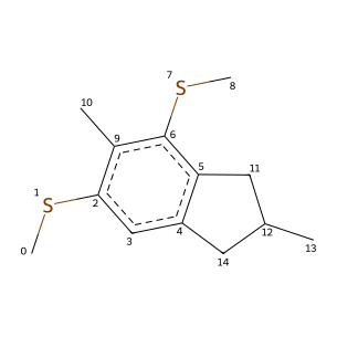 CSc1cc2c(c(SC)c1C)CC(C)C2